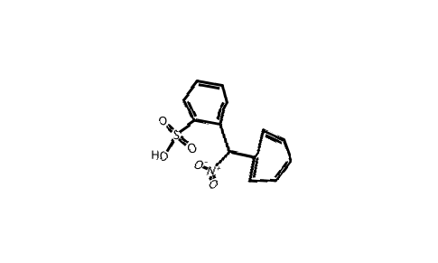 O=[N+]([O-])C(c1ccccc1)c1ccccc1S(=O)(=O)O